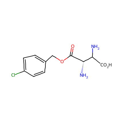 NC(C(=O)O)[C@H](N)C(=O)OCc1ccc(Cl)cc1